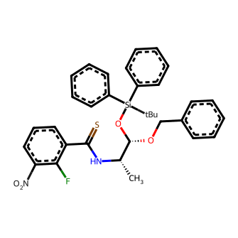 C[C@H](NC(=S)c1cccc([N+](=O)[O-])c1F)[C@@H](OCc1ccccc1)O[Si](c1ccccc1)(c1ccccc1)C(C)(C)C